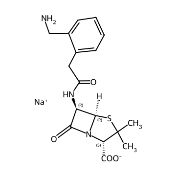 CC1(C)S[C@@H]2[C@H](NC(=O)Cc3ccccc3CN)C(=O)N2[C@H]1C(=O)[O-].[Na+]